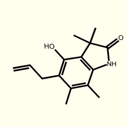 C=CCc1c(C)c(C)c2c(c1O)C(C)(C)C(=O)N2